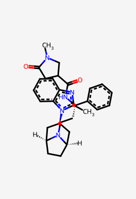 Cc1nc2ccccc2n1[C@H]1C[C@H]2CC[C@@H](C1)N2CC[C@H](NC(=O)C1CC(=O)N(C)C1)c1ccccc1